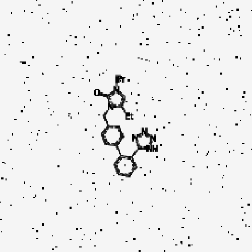 CCc1cn(C(C)C)c(=O)n1Cc1ccc(-c2ccccc2-c2nnn[nH]2)cc1